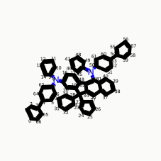 c1ccc(-c2ccc(N(c3ccccc3)c3ccc4c(c3)C(c3ccccc3)(c3ccccc3)c3cc5ccccc5c(N(c5ccccc5)c5ccc(-c6ccccc6)cc5)c3-4)cc2)cc1